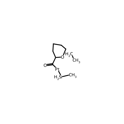 C[SiH2][Pt][C](=O)C1CCCCO1.[CH2]C